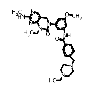 CCN1CCN(Cc2ccc(C(=O)Nc3cc(OC)cc(N4Cc5cnc(NC)nc5N(CC)C4=O)c3)cc2)CC1